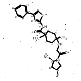 CC1(NCC(=O)N2C[C@@H](F)C[C@H]2C#N)CCC(C)(C(=O)Nc2nc(-c3ccccc3)cs2)CC1